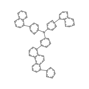 c1ccc(-c2cccc3c2ccc2c(-c4cccc(N(c5ccc(-c6cccc7ccccc67)cc5)c5ccc(-c6cccc7ccccc67)cc5)c4)cccc23)cc1